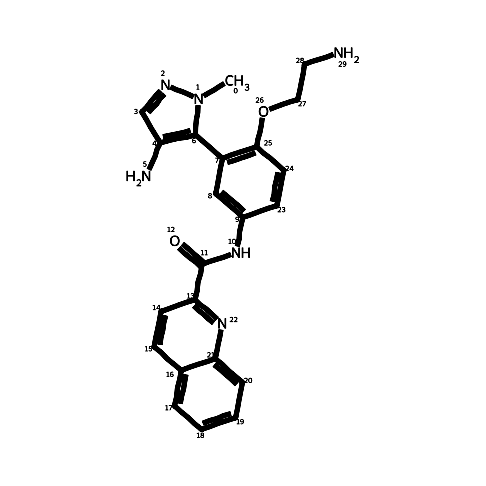 Cn1ncc(N)c1-c1cc(NC(=O)c2ccc3ccccc3n2)ccc1OCCN